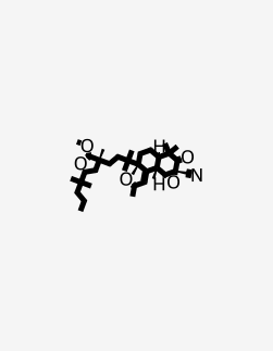 CCCC(C)(C)CC[C@@](C)(CCC(C)(C)[C@]1(C)CC[C@H]2C(C)(C)C(=O)[C@]3(C#N)O[C@@H]3[C@]2(C)/C1=C/C(C)=O)C(=O)OC